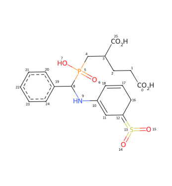 O=C(O)CCC(CP(=O)(O)C(NC1=CC(=S(=O)=O)CC=C1)c1ccccc1)C(=O)O